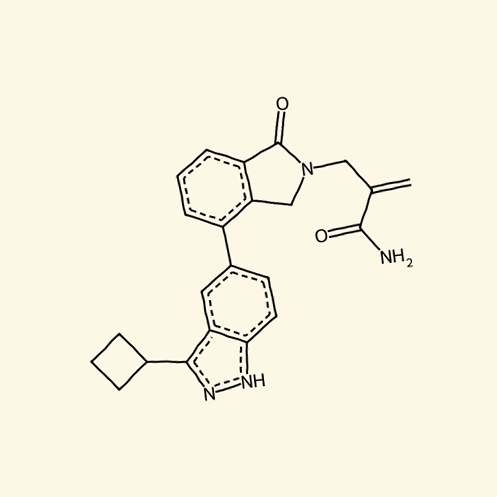 C=C(CN1Cc2c(cccc2-c2ccc3[nH]nc(C4CCC4)c3c2)C1=O)C(N)=O